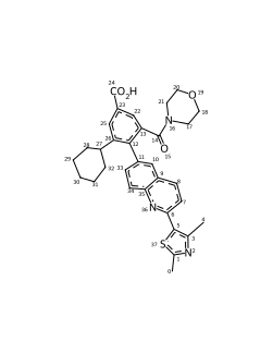 Cc1nc(C)c(-c2ccc3cc(-c4c(C(=O)N5CCOCC5)cc(C(=O)O)cc4C4CCCCC4)ccc3n2)s1